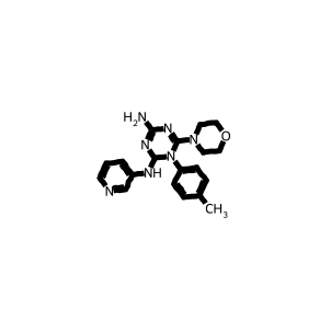 Cc1ccc(N2C(N3CCOCC3)=NC(N)=NC2Nc2cccnc2)cc1